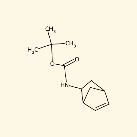 CC(C)(C)OC(=O)NC1CC2C=CC1C2